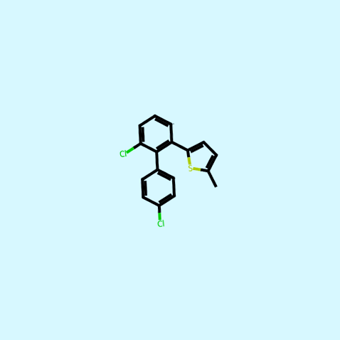 Cc1ccc(-c2[c]ccc(Cl)c2-c2ccc(Cl)cc2)s1